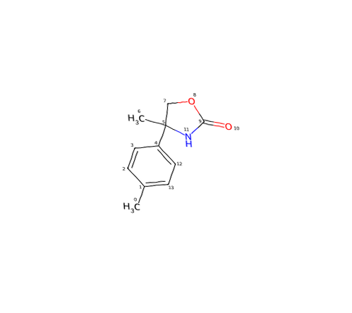 Cc1ccc(C2(C)COC(=O)N2)cc1